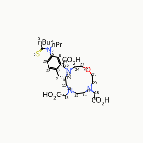 CCCCC(=S)N(CCC)c1ccc(C[C@H]2CN(CC(=O)O)CCN(CC(=O)O)CCOCCN2CC(=O)O)cc1